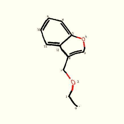 [CH2]COCc1coc2ccccc12